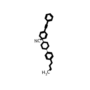 C=CCCc1ccc([C@H]2CC[C@H](C3(C#N)C=CC(C#Cc4ccccc4)=CC3)CC2)cc1